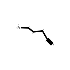 [C]#CCCCCC[CH2]